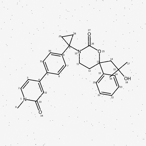 Cn1ccc(-c2ccc(C3(N4CCC(CC(C)(C)O)(c5ccccc5)OC4=O)CC3)cc2)cc1=O